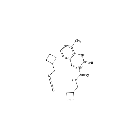 Cc1cccc(C)c1NC(=N)NC(=O)NCC1CCC1.O=C=NCC1CCC1